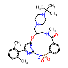 Cc1cccc(C)c1-c1cc2nc(n1)NS(=O)(=O)c1cccc(c1)C(=O)N(C)CC(CN1CCN(C(C)(C)C)CC1)O2